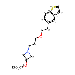 CCOC(=O)OC1CN(CCCOCCc2ccc3sccc3c2)C1